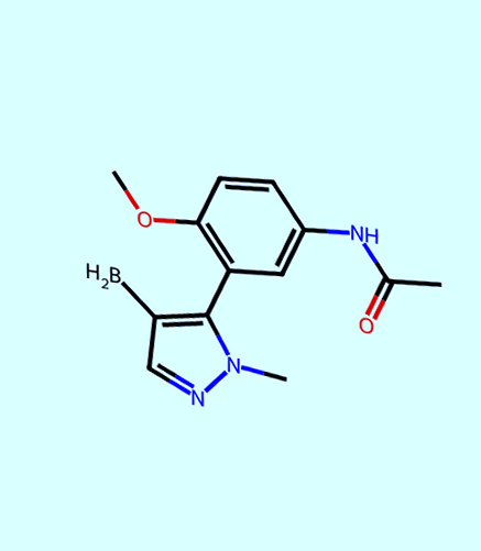 Bc1cnn(C)c1-c1cc(NC(C)=O)ccc1OC